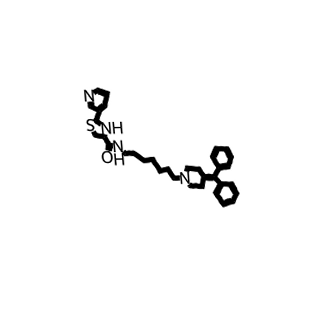 O=C(NCCCCCCCN1CCC(=C(c2ccccc2)c2ccccc2)CC1)C1CSC(c2cccnc2)N1